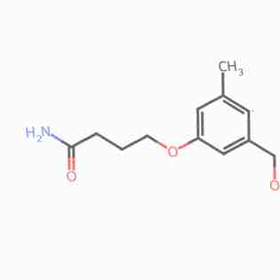 Cc1[c]c(CO)cc(OCCCC(N)=O)c1